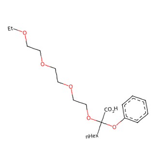 CCCCCCC(OCCOCCOCCOCC)(Oc1ccccc1)C(=O)O